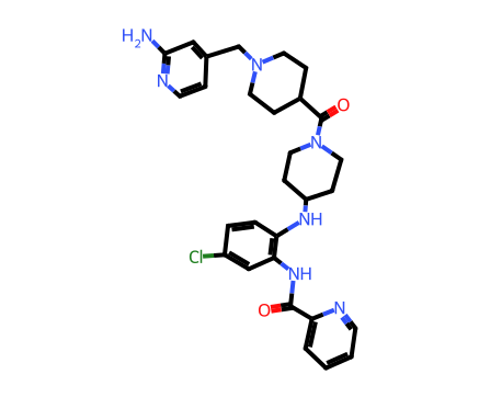 Nc1cc(CN2CCC(C(=O)N3CCC(Nc4ccc(Cl)cc4NC(=O)c4ccccn4)CC3)CC2)ccn1